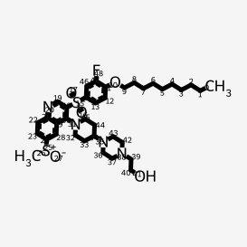 CCCCCCCCCCOc1ccc(S(=O)(=O)c2cnc3ccc([S+](C)[O-])cc3c2N2CCC(N3CCN(CCO)CC3)CC2)cc1F